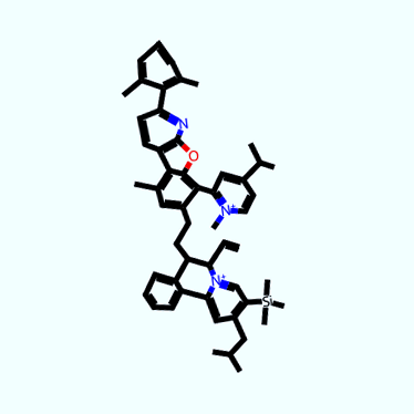 C=CC1C(CCc2cc(C)c3c(oc4nc(-c5c(C)cccc5C)ccc43)c2-c2cc(C(C)C)cc[n+]2C)c2ccccc2-c2cc(CC(C)C)c([Si](C)(C)C)c[n+]21